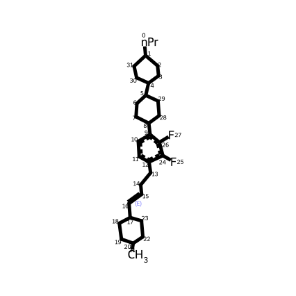 CCCC1CCC(C2CCC(c3ccc(CC/C=C/C4CCC(C)CC4)c(F)c3F)CC2)CC1